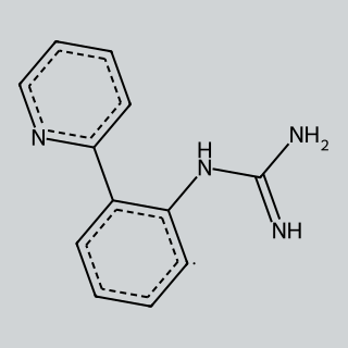 N=C(N)Nc1[c]cccc1-c1ccccn1